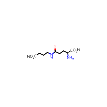 N[C@@H](CCC(=O)NCCCC(=O)O)C(=O)O